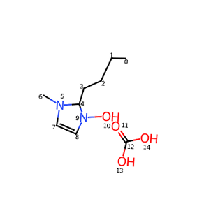 CCCCC1N(C)C=CN1O.O=C(O)O